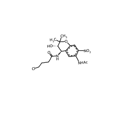 CC(=O)Nc1cc2c(cc1[N+](=O)[O-])OC(C)(C)[C@@H](O)[C@@H]2NC(=O)CCCCl